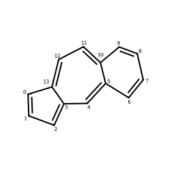 [c]1ccc2cc3ccccc3ccc1-2